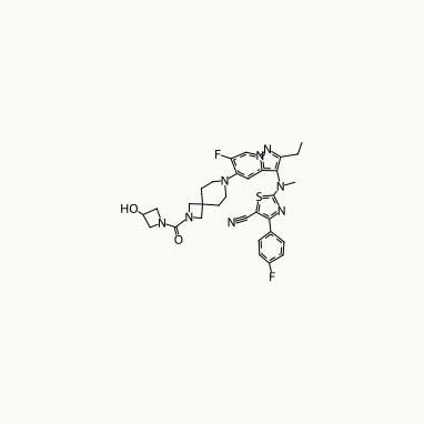 CCc1nn2cc(F)c(N3CCC4(CC3)CN(C(=O)N3CC(O)C3)C4)cc2c1N(C)c1nc(-c2ccc(F)cc2)c(C#N)s1